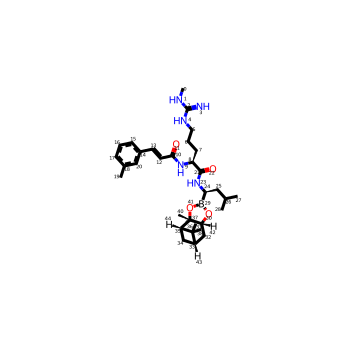 CNC(=N)NCCC[C@H](NC(=O)/C=C/c1cccc(C)c1)C(=O)N[C@@H](CC(C)C)B1O[C@@H]2C[C@@H]3C[C@@H](C3(C)C)[C@]2(C)O1